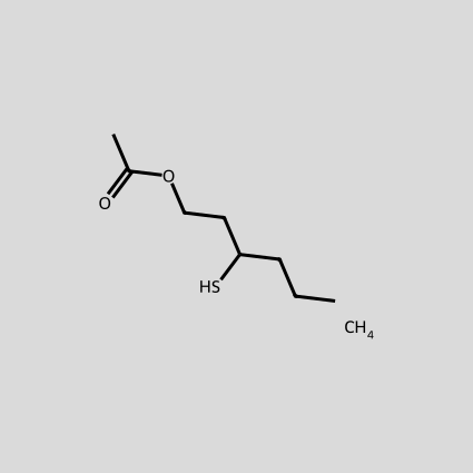 C.CCCC(S)CCOC(C)=O